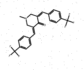 CN1CC(=Cc2ccc(C(F)(F)F)cc2)C(=O)C(=Cc2ccc(C(F)(F)F)cc2)C1